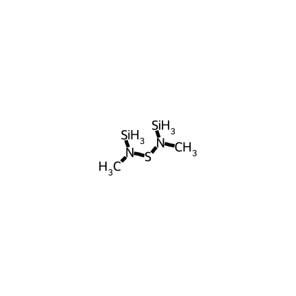 CN([SiH3])SN(C)[SiH3]